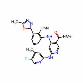 CNC(=O)c1cnc(Nc2cc(C)c(F)cn2)cc1Nc1cccc(-c2nnc(C)o2)c1OC